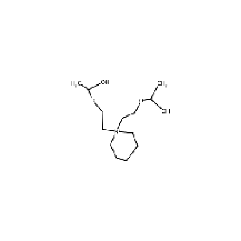 CC(O)OCC[N+]1(CCOC(C)O)CCCCC1